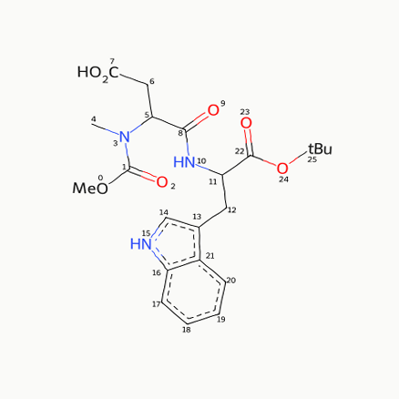 COC(=O)N(C)C(CC(=O)O)C(=O)NC(Cc1c[nH]c2ccccc12)C(=O)OC(C)(C)C